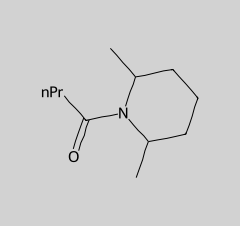 CCCC(=O)N1C(C)CCCC1C